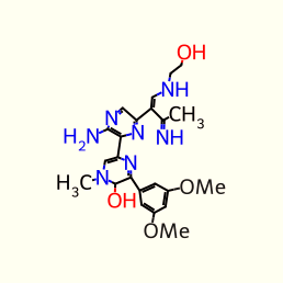 COc1cc(OC)cc(C2=NC(c3nc(/C(=C/NCCO)C(C)=N)cnc3N)=CN(C)C2O)c1